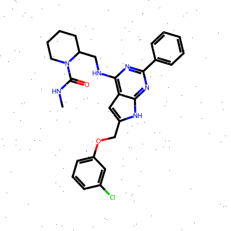 CNC(=O)N1CCCCC1CNc1nc(-c2ccccc2)nc2[nH]c(COc3cccc(Cl)c3)cc12